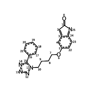 O=C1C=c2cc(OCCCCn3nnnc3-c3ccccc3)ccc2=N1